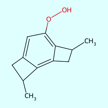 CC1Cc2cc(OO)c3c(c21)CC3C